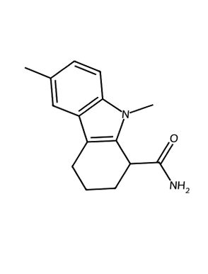 Cc1ccc2c(c1)c1c(n2C)C(C(N)=O)CCC1